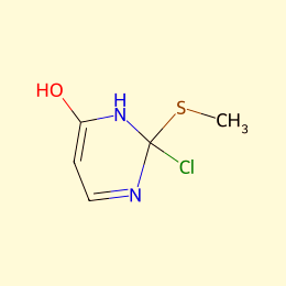 CSC1(Cl)N=CC=C(O)N1